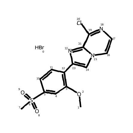 Br.COc1cc(S(C)(=O)=O)ccc1-c1cn2ccnc(Cl)c2n1